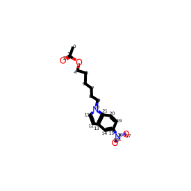 CC(=O)OCCCCCCn1ccc2cc([N+](=O)[O-])ccc21